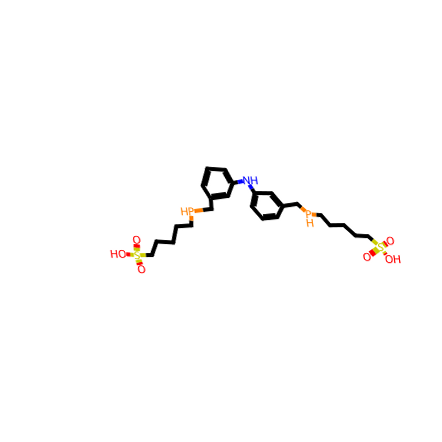 O=S(=O)(O)CCCCCPCc1cccc(Nc2cccc(CPCCCCCS(=O)(=O)O)c2)c1